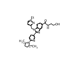 CCn1ccc(Cn2c(-c3ccc(N4[C@@H](C)CC[C@@H]4C)nc3)nc3cc(C(=O)NCCO)ccc32)n1